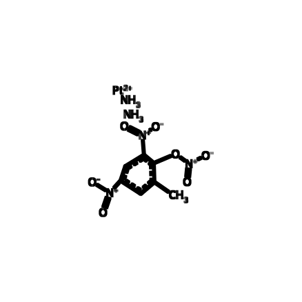 Cc1cc([N+](=O)[O-])cc([N+](=O)[O-])c1O[N+](=O)[O-].N.N.[Pt+2]